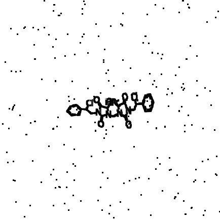 CC(C)C1C(=O)N(CC(Cl)c2ccccc2)C(=O)N1CN1C(=O)N(CC(Cl)c2ccccc2)C(=O)C1C(C)C